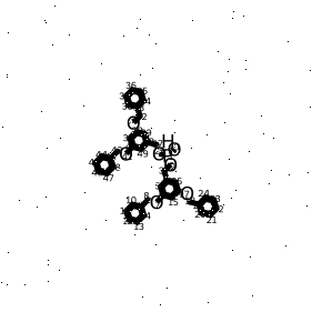 O=[PH](OCc1cc(OCc2ccccc2)cc(OCc2ccccc2)c1)OCc1cc(OCc2ccccc2)cc(OCc2ccccc2)c1